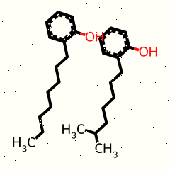 CC(C)CCCCCc1ccccc1O.CCCCCCCCc1ccccc1O